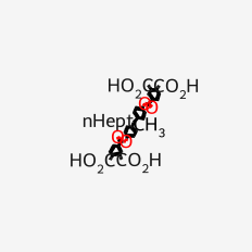 CCCCCCCC(C)(c1ccc(OC(=O)c2ccc(C(=O)O)c(C(=O)O)c2)cc1)c1ccc(OC(=O)c2ccc(C(=O)O)c(C(=O)O)c2)cc1